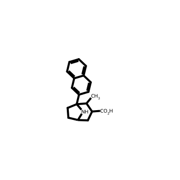 CC1C(C(=O)O)CC2CCC1(c1ccc3ccccc3c1)N2